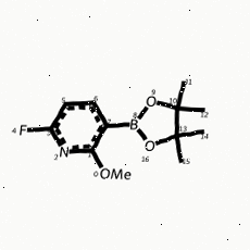 COc1nc(F)ccc1B1OC(C)(C)C(C)(C)O1